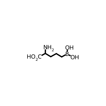 NC(CCCB(O)O)C(=O)O